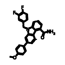 COc1ccc(-c2c[c]c3c4c(C(N)=O)cccc4n(Cc4ccc(F)c(F)c4)c3c2)cc1